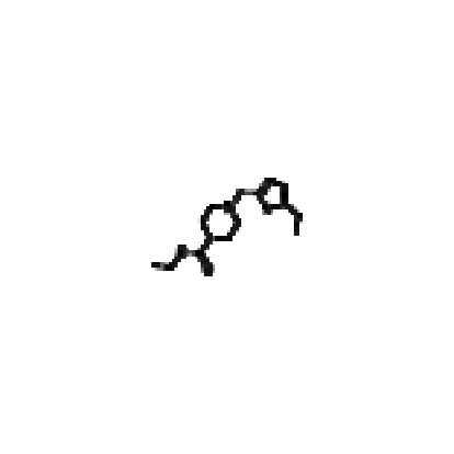 CCOC(=O)C1CCN(Cc2ccc(CC)s2)CC1